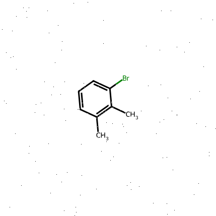 Cc1[c]ccc(Br)c1C